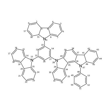 C1=CC2c3ccccc3N(c3cc(-n4c5ccccc5c5ccccc54)cc(-n4c5ccccc5c5c6c(ccc54)C4C=CC=CC4N6c4ccccc4)c3)C2C=C1